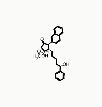 CC(=O)O.O=C1C[C@@H](O)[C@H](C=CCC[C@H](O)c2ccccc2)[C@@H]1c1ccc2ccccc2c1